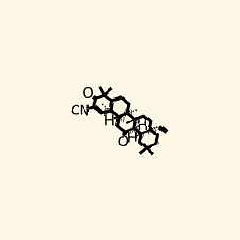 [C-]#[N+]C1=C[C@@]2(C)C(CC[C@]3(C)[C@@H]2CC(=O)[C@@H]2[C@@H]4CC(C)(C)CC[C@]4(C=C)CC[C@]23C)C(C)(C)C1=O